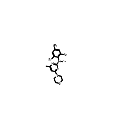 CCN(c1nc(C)cc(N2CCSCC2)n1)c1c(Br)cc(C(C)C)cc1Br